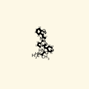 CN[C@@H](C)C(=O)N[C@H](C(=O)N1CCC[C@H]1c1nc(-c2noc3ccccc23)cs1)C1CCOCC1